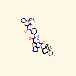 C=C(C)/C=C\C(=C(C)C)N1C(=O)Nc2c(C(=O)N[C@@H]3CCCN(C(=O)/C(C#N)=C/[C@@H]4CCCN4C(C)=O)C3)sc3nccc1c23